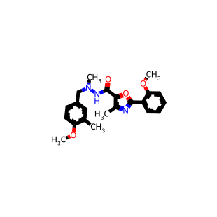 COc1ccc(CN(C)NC(=O)c2oc(-c3ccccc3OC)nc2C)cc1C